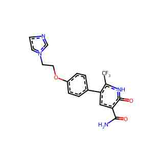 NC(=O)c1cc(-c2ccc(OCCn3ccnc3)cc2)c(C(F)(F)F)[nH]c1=O